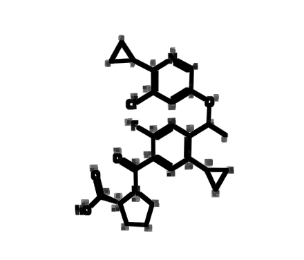 CC(Oc1cnc(C2CC2)c(Cl)c1)c1cc(F)c(C(=O)N2CCC[C@H]2C(=O)O)cc1C1CC1